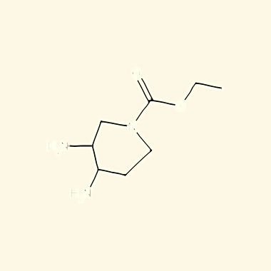 CCOC(=O)N1CCC(N)C(N)C1